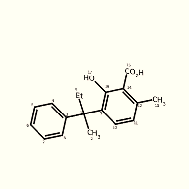 CCC(C)(c1ccccc1)c1ccc(C)c(C(=O)O)c1O